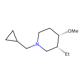 CC[C@@H]1CN(CC2CC2)CC[C@@H]1OC